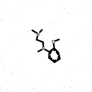 COc1ccccc1N(C)CCN(C)C